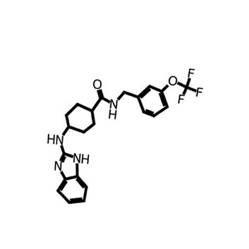 O=C(NCc1cccc(OC(F)(F)F)c1)C1CCC(Nc2nc3ccccc3[nH]2)CC1